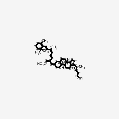 CC1=C(/C=C/C(C)=C\C=C\C(=C\C(=O)O)CC2CC[C@@]3(C)C(=CC[C@H]4[C@@H]5CC[C@H]([C@H](C)CCCC(C)C)[C@@]5(C)CC[C@@H]43)C2)C(C)(C)CCC1